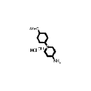 COC1CCC(N2CCC(N)CC2)CC1.Cl.Cl